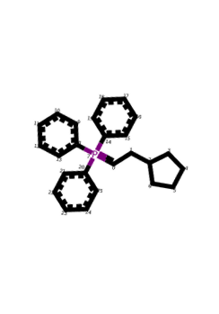 C(CC1CCCC1)=P(c1ccccc1)(c1ccccc1)c1ccccc1